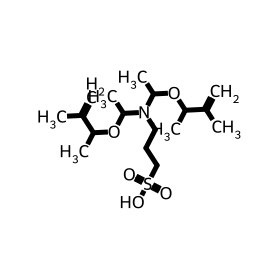 C=C(C)C(C)OC(C)N(CCCS(=O)(=O)O)C(C)OC(C)C(=C)C